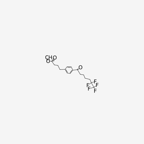 COC(=O)CCCc1ccc(C(=O)CCCCC(F)(F)C(F)(F)F)cc1